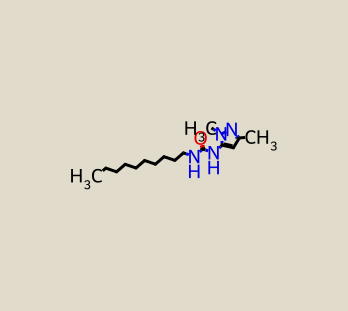 CCCCCCCCCCNC(=O)Nc1cc(C)nn1C